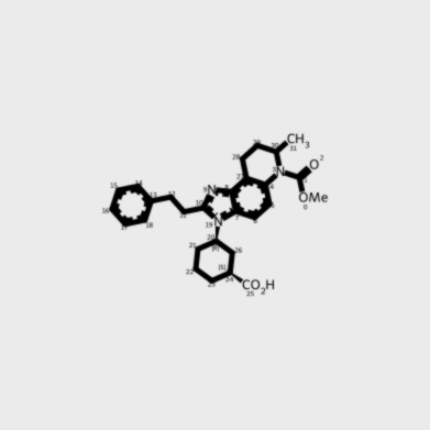 COC(=O)N1c2ccc3c(nc(CCc4ccccc4)n3[C@@H]3CCC[C@H](C(=O)O)C3)c2CCC1C